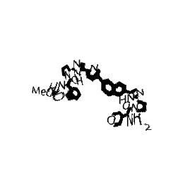 COC(=O)N[C@@H](C(=O)N1CCC[C@H]1c1ncc(-c2ccc(-c3ccc4cc(-c5cnc([C@@H]6CCCN6C(=O)[C@@H](N)C6CCOCC6)[nH]5)ccc4c3)cn2)[nH]1)c1ccccc1